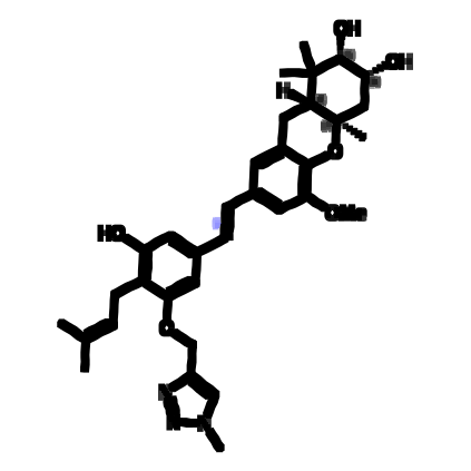 COc1cc(/C=C/c2cc(O)c(CC=C(C)C)c(OCc3cn(C)nn3)c2)cc2c1O[C@]1(C)C[C@@H](O)[C@@H](O)C(C)(C)[C@H]1C2